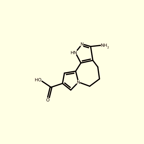 Nc1n[nH]c2c1CCCn1cc(C(=O)O)cc1-2